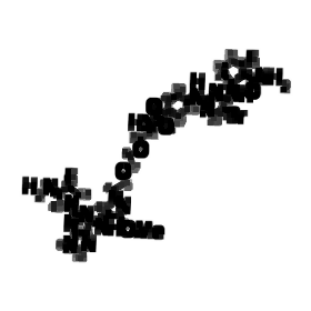 COc1nn(CCOCCOCCNS(=O)(=O)c2ccc(Nc3ncc(Br)c(Nc4cccc(F)c4C(N)=O)n3)cc2)cc1Nc1nc(N2C[C@@H](N)[C@H](F)C2)nc2c1ncn2C